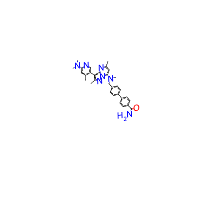 Cc1cc(N(C)Cc2ccc(-c3ccc(C(N)=O)cc3)cc2)n2nc(C)c(-c3cnc(N(C)C)cc3C)c2n1